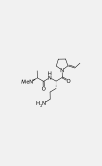 C/C=C1\CCCN1C(=O)[C@H](CCCN)NC(=O)[C@H](C)NC